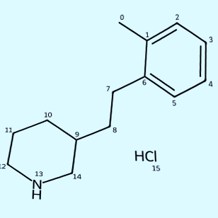 Cc1ccccc1CCC1CCCNC1.Cl